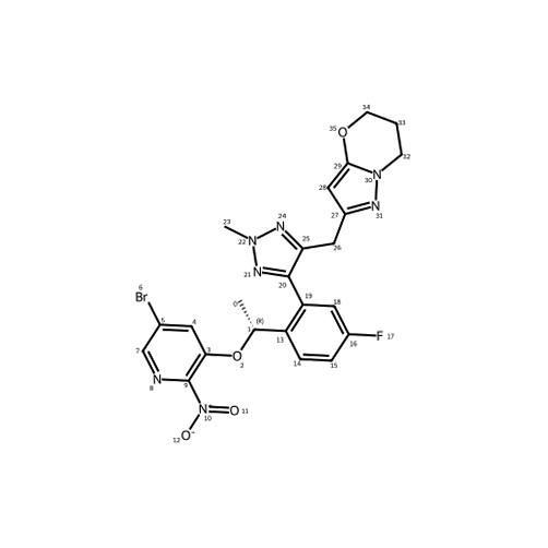 C[C@@H](Oc1cc(Br)cnc1[N+](=O)[O-])c1ccc(F)cc1-c1nn(C)nc1Cc1cc2n(n1)CCCO2